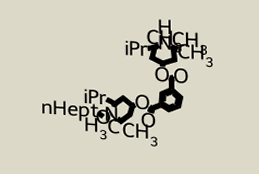 CCCCCCCON1C(C(C)C)CC(OC(=O)c2cccc(C(=O)OC3CC(C)(C)NC(C)(C(C)C)C3)c2)CC1(C)C